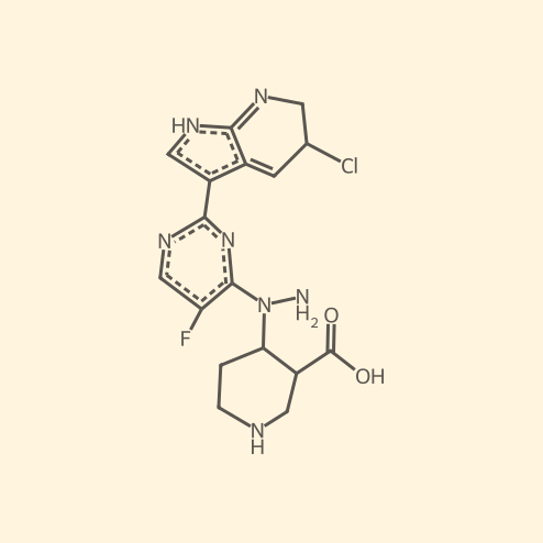 NN(c1nc(-c2c[nH]c3c2=CC(Cl)CN=3)ncc1F)C1CCNCC1C(=O)O